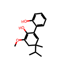 COC1=C(O)C(c2ccccc2O)=CC(C)(C(C)C)C1